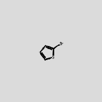 Brc1c[c]cs1